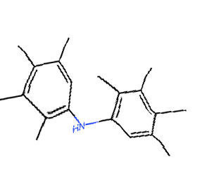 Cc1cc(Nc2cc(C)c(C)c(C)c2C)c(C)c(C)c1C